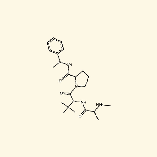 CNC(C)C(=O)NC(C(=O)N1CCCC1C(=O)NN(C)c1ccccc1)C(C)(C)C